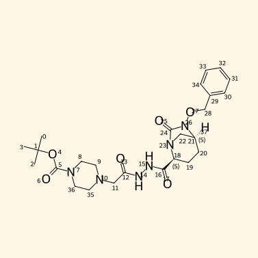 CC(C)(C)OC(=O)N1CCN(CC(=O)NNC(=O)[C@@H]2CC[C@H]3CN2C(=O)N3OCc2ccccc2)CC1